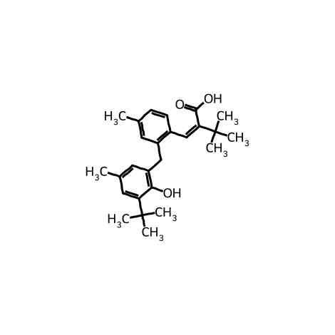 Cc1ccc(C=C(C(=O)O)C(C)(C)C)c(Cc2cc(C)cc(C(C)(C)C)c2O)c1